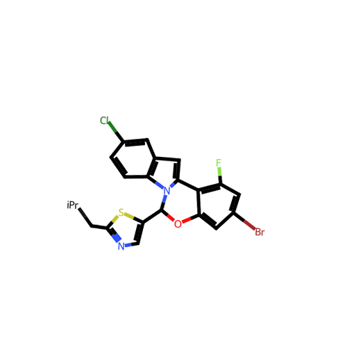 CC(C)Cc1ncc(C2Oc3cc(Br)cc(F)c3-c3cc4cc(Cl)ccc4n32)s1